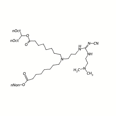 CCCCCCCCCOC(=O)CCCCCCCN(CCCCCCCC(=O)OC(CCCCCCCC)CCCCCCCC)CCCN/C(=N/C#N)NCCN(C)C